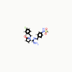 CS(=O)(=O)Nc1ccc(CN=C(N)[C@@H]2CCC(=O)N2Cc2ccc(F)cc2)cc1